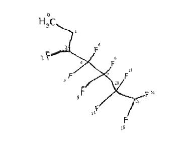 CCC(F)C(F)(F)C(F)(F)C(F)(F)[C](F)F